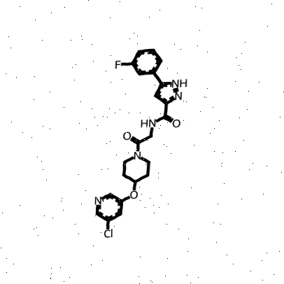 O=C(NCC(=O)N1CCC(Oc2cncc(Cl)c2)CC1)c1cc(-c2cccc(F)c2)[nH]n1